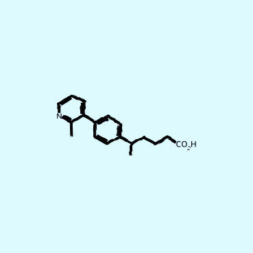 Cc1ncccc1-c1ccc(C(C)CCCC(=O)O)cc1